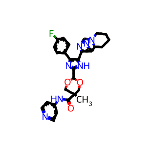 CC1(C(=O)Nc2ccncc2)COC(c2nc(-c3ccc(F)cc3)c(-c3nc4ncc3C3CCCCN43)[nH]2)OC1